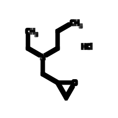 CCCN(CC)CC1CO1.Cl